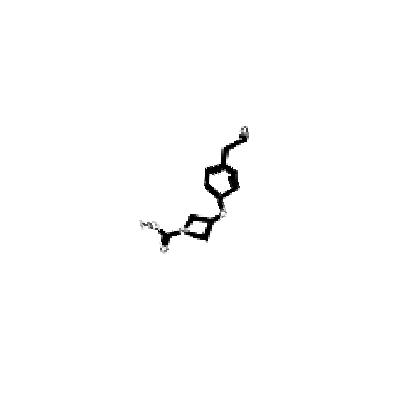 O=CCc1ccc(OC2CN(C(=O)O)C2)cc1